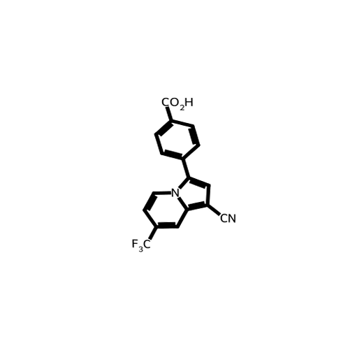 N#Cc1cc(-c2ccc(C(=O)O)cc2)n2ccc(C(F)(F)F)cc12